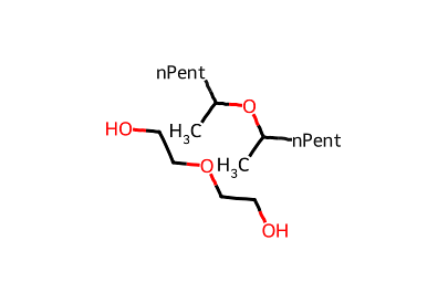 CCCCCC(C)OC(C)CCCCC.OCCOCCO